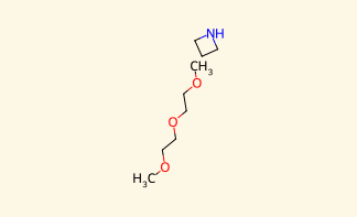 C1CNC1.COCCOCCOC